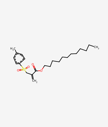 C=C(CS(=O)(=O)c1ccc(C)cc1)C(=O)OCCCCCCCCCCCC